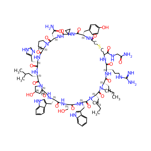 CCCC[C@H]1C(=O)N(C)[C@@H](CCCC)C(=O)N[C@@H](CCCNC(=N)N)C(=O)NC(C(=O)NCC(N)=O)CSCC(=O)N[C@@H](Cc2ccc(O)cc2)C(=O)NC2(CC2)C(=O)N[C@@H](CC(N)=O)C(=O)N2CCC[C@H]2C(=O)N[C@@H](Cc2c[nH]cn2)C(=O)N[C@@H](CCC(C)C)C(=O)N2C[C@H](O)C[C@H]2C(=O)N[C@@H](Cc2c[nH]c3ccccc23)C(=O)N[C@@H](CO)C(=O)N[C@@H](Cc2c[nH]c3ccccc23)C(=O)N1C